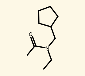 CCN(CC1CCCC1)C(C)=O